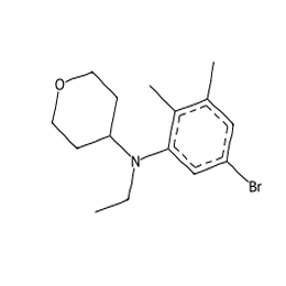 CCN(c1cc(Br)cc(C)c1C)C1CCOCC1